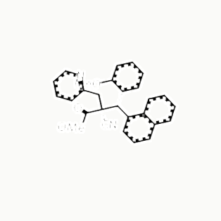 COC(=O)[C@@](C#N)(Cc1ccccn1)[C@H](c1ccccc1OC)c1cccc2ccccc12